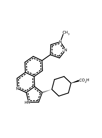 Cn1cc(-c2ccc3cnc4[nH]cc([C@H]5CC[C@H](C(=O)O)CC5)c4c3c2)cn1